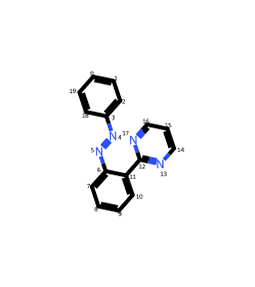 c1ccc(N=Nc2ccccc2-c2ncccn2)cc1